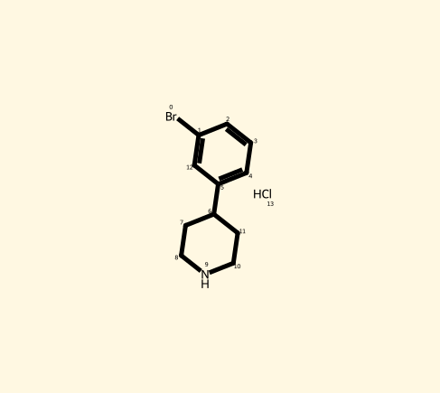 Brc1cccc(C2CCNCC2)c1.Cl